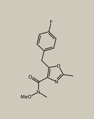 CON(C)C(=O)c1nc(C)oc1Cc1ccc(F)cc1